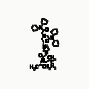 CC(C)CN(CC(C)C)C(=O)Cn1cc[n+](CCCN(CC(=O)N(c2ccccc2)c2ccccc2)CC(=O)N(c2ccccc2)c2ccccc2)c1